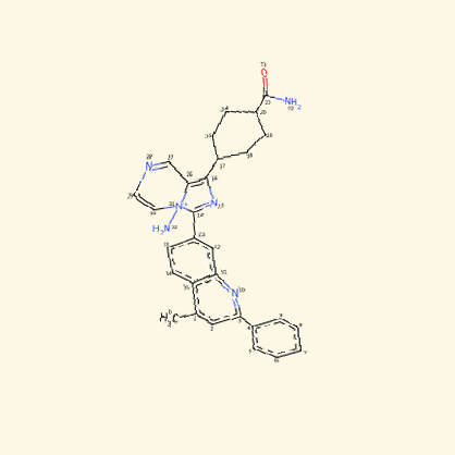 Cc1cc(-c2ccccc2)nc2cc(C3=NC(C4CCC(C(N)=O)CC4)=C4C=NC=C[N+]34N)ccc12